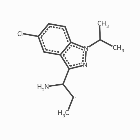 C[CH]C(N)c1nn(C(C)C)c2ccc(Cl)cc12